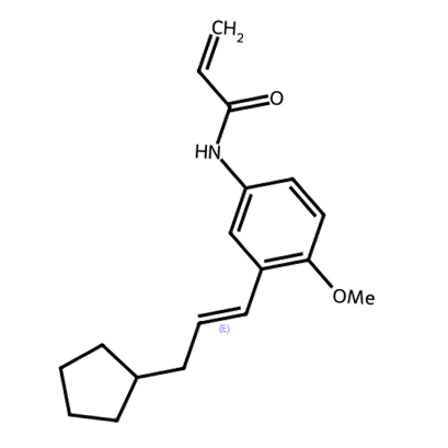 C=CC(=O)Nc1ccc(OC)c(/C=C/CC2CCCC2)c1